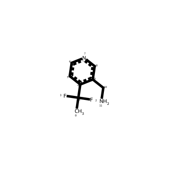 CC(F)(F)c1ccncc1CN